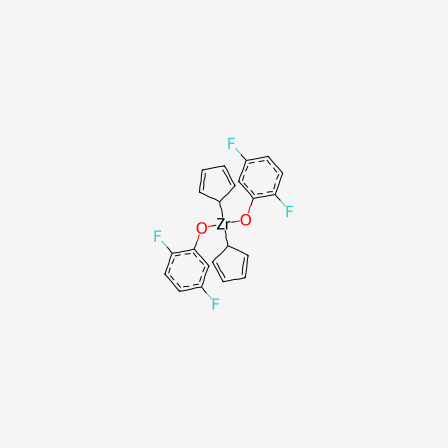 Fc1ccc(F)c([O][Zr]([O]c2cc(F)ccc2F)([CH]2C=CC=C2)[CH]2C=CC=C2)c1